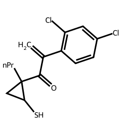 C=C(C(=O)C1(CCC)CC1S)c1ccc(Cl)cc1Cl